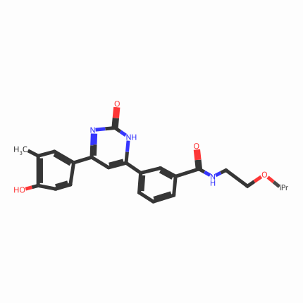 Cc1cc(-c2cc(-c3cccc(C(=O)NCCOC(C)C)c3)[nH]c(=O)n2)ccc1O